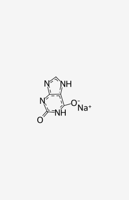 O=c1nc2nc[nH]c2c([O-])[nH]1.[Na+]